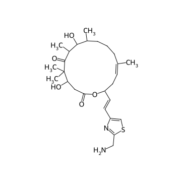 CC1=CCC(C=Cc2csc(CN)n2)OC(=O)CC(O)C(C)(C)C(=O)C(C)C(O)C(C)CCC1